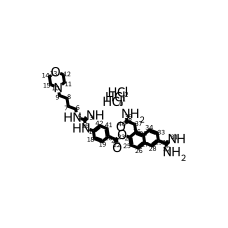 Cl.Cl.Cl.N=C(NCCCCN1CCOCC1)Nc1ccc(C(=O)Oc2ccc3cc(C(=N)N)ccc3c2CC(N)=O)cc1